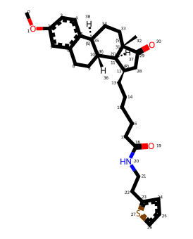 COc1ccc2c(c1)CC[C@H]1[C@@H]3[C@H](CCCCCC(=O)NCCc4cccs4)CC(=O)[C@@]3(C)CC[C@H]21